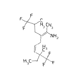 CCC(C)(/C=C\C/C(CC(C)C(F)(F)F)=C(/C)N)C(F)(F)F